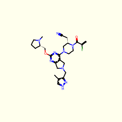 C=C(F)C(=O)N1CCN(c2nc(OC[C@@H]3CCCN3C)nc3c2CN(Cc2n[nH]cc2C)C3)C[C@@H]1CC#N